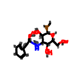 CSC1OC(CO)C(O)C(NC(=O)c2ccccc2)C1O